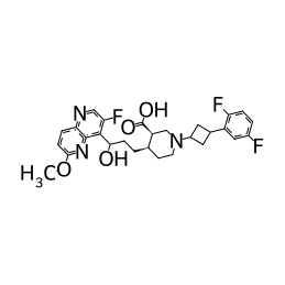 COc1ccc2ncc(F)c(C(O)CC[C@@H]3CCN(C4CC(c5cc(F)ccc5F)C4)C[C@@H]3C(=O)O)c2n1